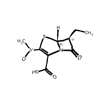 CC[C@H]1C(=O)N2C(C(=O)O)=C([S+](C)[O-])S[C@H]12